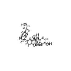 COc1ccc(-c2c(C)nc3sc(C(C)(C)CO)nn23)cc1S(=O)(=O)N[C@H]1CC[C@@H](O)CC1